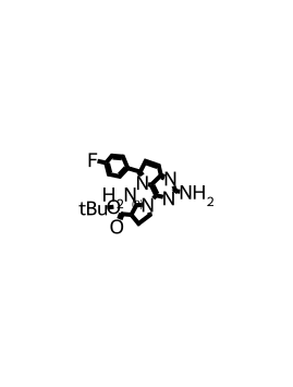 CC(C)(C)OC(=O)C1CCN(c2nc(N)nc3ccc(-c4ccc(F)cc4)nc23)[C@H]1N